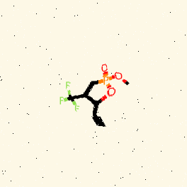 C#CC1OP(=O)(OC)CC1C(F)(F)F